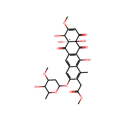 COC(=O)Cc1c(OC2CC(OC)C(O)C(C)O2)cc2cc3c(c(O)c2c1C)C(=O)C1(O)C(=O)C=C(OC)C(O)[C@]1(O)C3=O